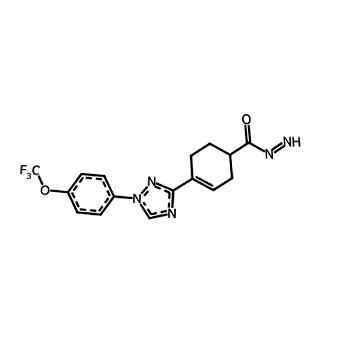 N=NC(=O)C1CC=C(c2ncn(-c3ccc(OC(F)(F)F)cc3)n2)CC1